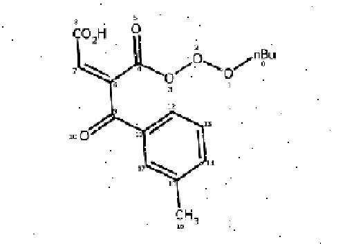 CCCCOOOC(=O)C(=CC(=O)O)C(=O)c1cccc(C)c1